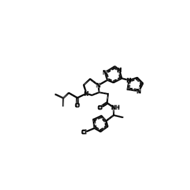 CC(C)CC(=O)N1CCN(c2cc(-n3ccnc3)ncn2)C(CC(=O)NC(C)c2ccc(Cl)cc2)C1